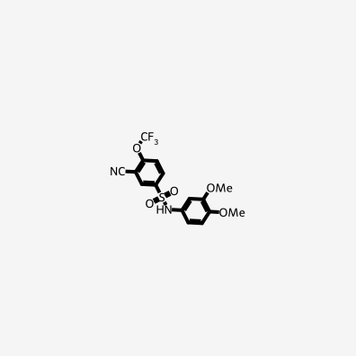 COc1ccc(NS(=O)(=O)c2ccc(OC(F)(F)F)c(C#N)c2)cc1OC